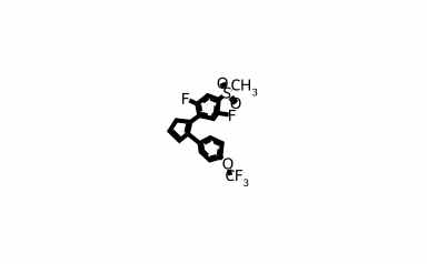 CS(=O)(=O)c1cc(F)c(C2=C(c3ccc(OC(F)(F)F)cc3)C=CC2)cc1F